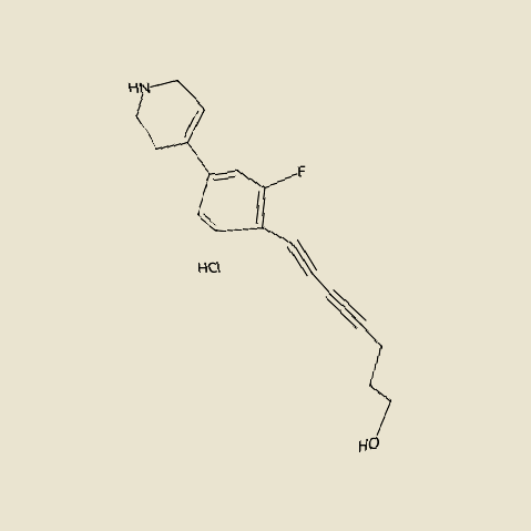 Cl.OCCCC#CC#Cc1ccc(C2=CCNCC2)cc1F